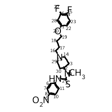 CN(C(=S)Nc1ccc([N+](=O)[O-])cc1)C1CCN(CCCCOc2ccc(F)c(F)c2)CC1